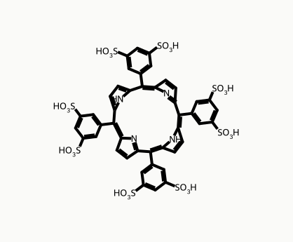 O=S(=O)(O)c1cc(-c2c3nc(c(-c4cc(S(=O)(=O)O)cc(S(=O)(=O)O)c4)c4ccc([nH]4)c(-c4cc(S(=O)(=O)O)cc(S(=O)(=O)O)c4)c4nc(c(-c5cc(S(=O)(=O)O)cc(S(=O)(=O)O)c5)c5ccc2[nH]5)C=C4)C=C3)cc(S(=O)(=O)O)c1